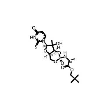 C[C@H](NP1(=O)OC[C@H]2O[C@@H](n3ccc(=O)[nH]c3=S)C(C)(O)[C@H]2O1)C(=O)OCC(C)(C)C